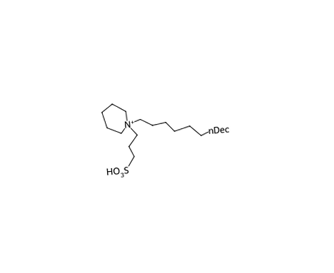 CCCCCCCCCCCCCCCC[N+]1(CCCS(=O)(=O)O)CCCCC1